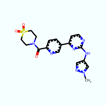 Cn1cc(Nc2nccc(-c3ccc(C(=O)N4CCS(=O)(=O)CC4)nc3)n2)cn1